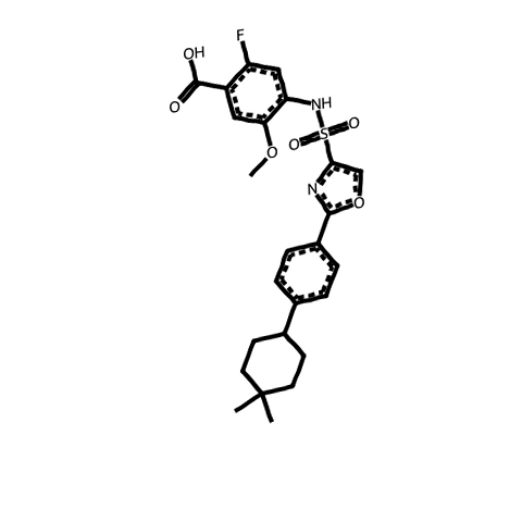 COc1cc(C(=O)O)c(F)cc1NS(=O)(=O)c1coc(-c2ccc(C3CCC(C)(C)CC3)cc2)n1